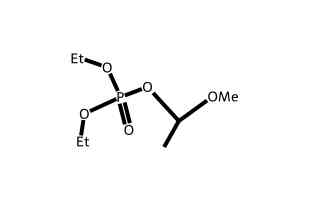 CCOP(=O)(OCC)OC(C)OC